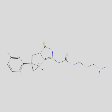 CN(C)CCCNC(=O)Cc1[nH]c(=S)n2c1[C@@H]1C[C@]1(c1cc(Br)ccc1F)C2.Cl